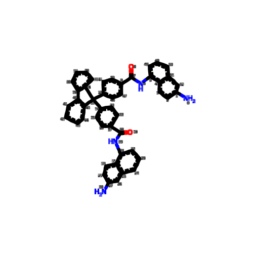 Nc1ccc2c(NC(=O)c3ccc(C4(c5ccc(C(=O)Nc6cccc7cc(N)ccc67)cc5)c5ccccc5-c5ccccc54)cc3)cccc2c1